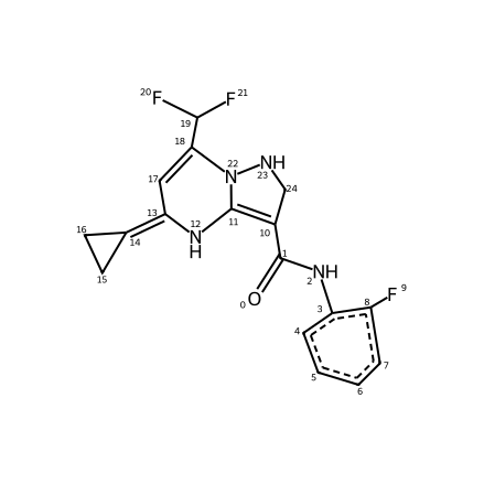 O=C(Nc1ccccc1F)C1=C2NC(=C3CC3)C=C(C(F)F)N2NC1